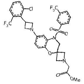 COC(=O)CN1CC2(C1)CN(S(=O)(=O)c1cccc(C(F)(F)F)c1)c1cc(N3CC(c4c(Cl)cccc4C(F)(F)F)C3)ccc1O2